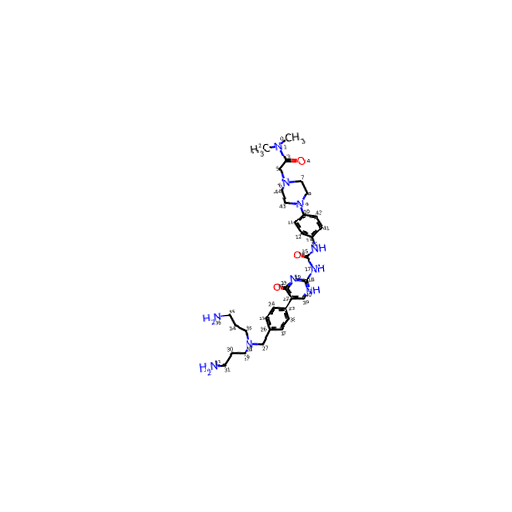 CN(C)C(=O)CN1CCN(c2ccc(NC(=O)Nc3nc(=O)c(-c4ccc(CN(CCCN)CCCN)cc4)c[nH]3)cc2)CC1